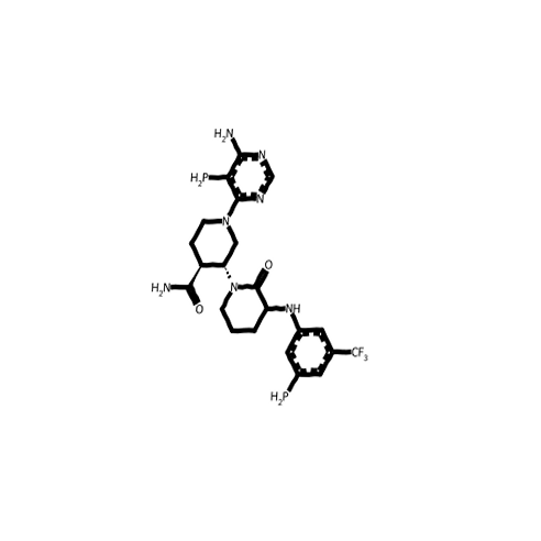 NC(=O)[C@H]1CCN(c2ncnc(N)c2P)C[C@@H]1N1CCCC(Nc2cc(P)cc(C(F)(F)F)c2)C1=O